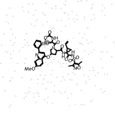 C=CC1CC1(NC(=O)C1CC(Oc2cc(-c3ccccc3)nc3cc(OC)ccc23)CN1C(=O)C(NC(=O)OC(C)(C)C)C(C)(C)C)C(=O)NS(=O)(=O)c1c(C)noc1C